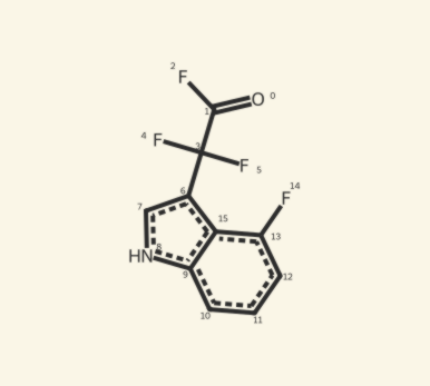 O=C(F)C(F)(F)c1c[nH]c2cccc(F)c12